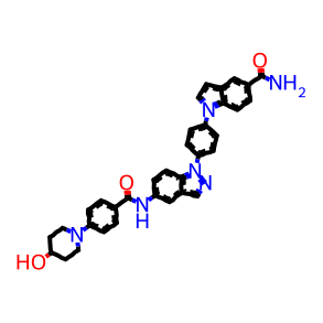 NC(=O)c1ccc2c(ccn2-c2ccc(-n3ncc4cc(NC(=O)c5ccc(N6CCC(O)CC6)cc5)ccc43)cc2)c1